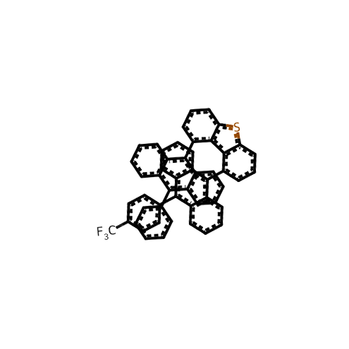 FC(F)(F)c1ccc(-c2c3ccccc3c(-c3cccc4sc5cccc(-c6c7ccccc7c(-c7ccccc7)c7ccccc67)c5c34)c3ccccc23)cc1